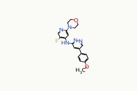 COc1ccc(-c2cnnc(Nc3cc(N4CCOCC4)ncc3F)c2)cc1